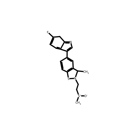 CC1c2cc(C3=CN=C4CC(F)=CC=C34)ccc2SN1CC[S+](C)[O-]